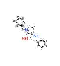 OCC1(NCc2ccccc2)CCCN(Cc2ccccc2)C1